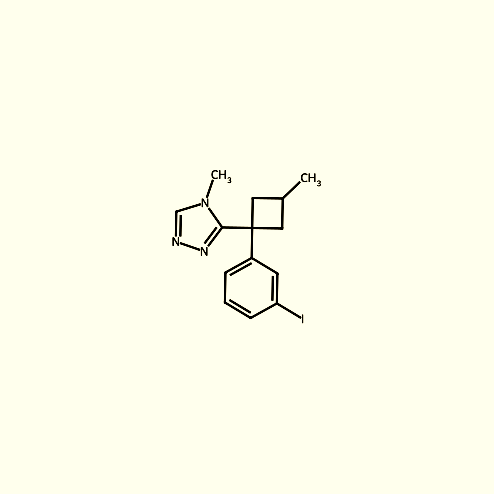 CC1CC(c2cccc(I)c2)(c2nncn2C)C1